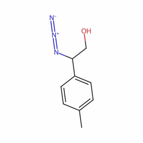 Cc1ccc(C(CO)N=[N+]=[N-])cc1